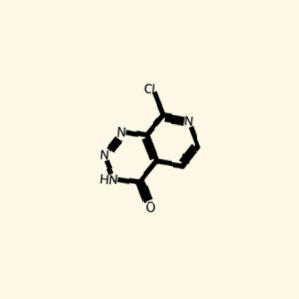 O=c1[nH]nnc2c(Cl)nccc12